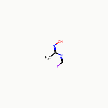 CC(/N=C\I)=N/O